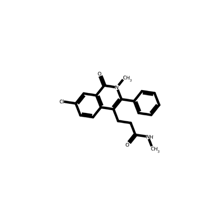 CNC(=O)CCc1c(-c2ccccc2)n(C)c(=O)c2cc(Cl)ccc12